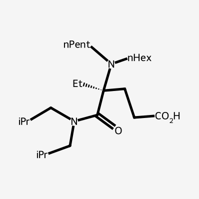 CCCCCCN(CCCCC)[C@@](CC)(CCC(=O)O)C(=O)N(CC(C)C)CC(C)C